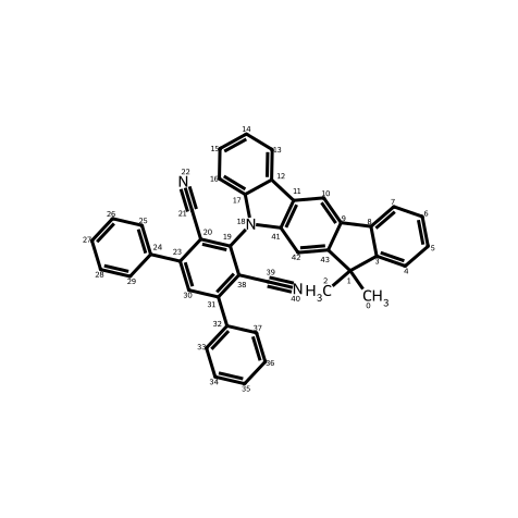 CC1(C)c2ccccc2-c2cc3c4ccccc4n(-c4c(C#N)c(-c5ccccc5)cc(-c5ccccc5)c4C#N)c3cc21